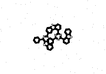 c1ccc(-c2nc(-c3cccc4oc5ccccc5c34)nc(-c3cccc4sc5ccc(-c6nc(-c7ccccc7)c7oc8ccccc8c7n6)cc5c34)n2)cc1